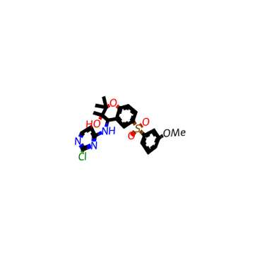 COc1cccc(S(=O)(=O)c2ccc3c(c2)C(Nc2ccnc(Cl)n2)C(C)(O)C(C)(C)O3)c1